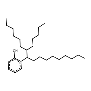 CCCCCCCCCC(c1ccccc1O)C(CCCCC)CCCCCC